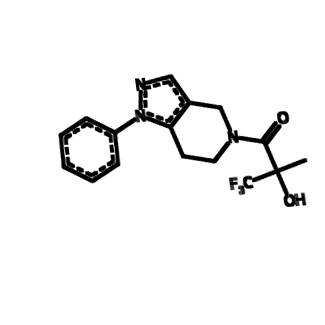 CC(O)(C(=O)N1CCc2c(cnn2-c2ccccc2)C1)C(F)(F)F